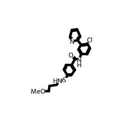 COCCCNSc1ccc(C(=O)Nc2ccc(Cl)c(-c3ccccn3)c2)cc1